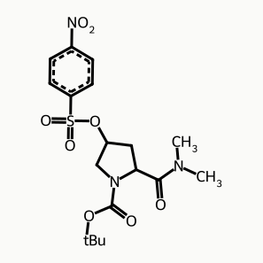 CN(C)C(=O)C1CC(OS(=O)(=O)c2ccc([N+](=O)[O-])cc2)CN1C(=O)OC(C)(C)C